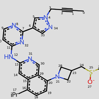 CC#CCn1cc(-c2nccc(Nc3cc4c(C(C)C)ccc(N5CC(C[S+](C)[O-])C5)c4cn3)n2)cn1